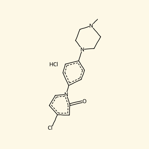 CN1CCN(c2ccc(-n3ccc(Cl)cc3=O)cc2)CC1.Cl